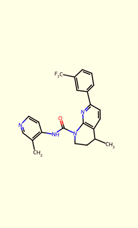 Cc1cnccc1NC(=O)N1CCC(C)c2ccc(-c3cccc(C(F)(F)F)c3)nc21